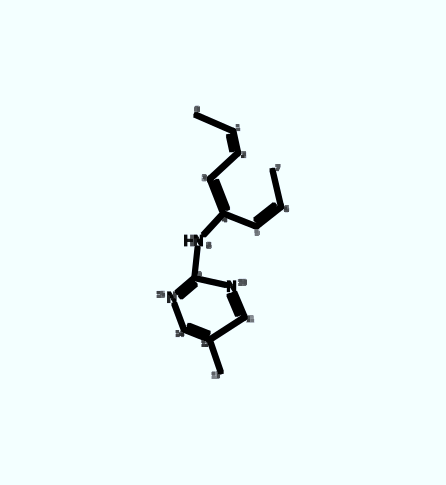 C\C=C/C=C(\C=C/C)Nc1ncc(C)cn1